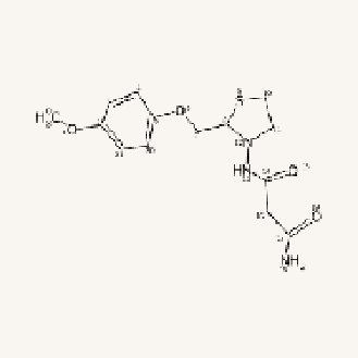 COc1ccc(OCC2SCCN2NC(=O)CC(N)=O)cc1